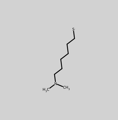 CN(C)CCCCCC[S]